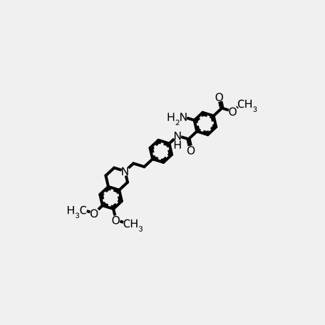 COC(=O)c1ccc(C(=O)Nc2ccc(CCN3CCc4cc(OC)c(OC)cc4C3)cc2)c(N)c1